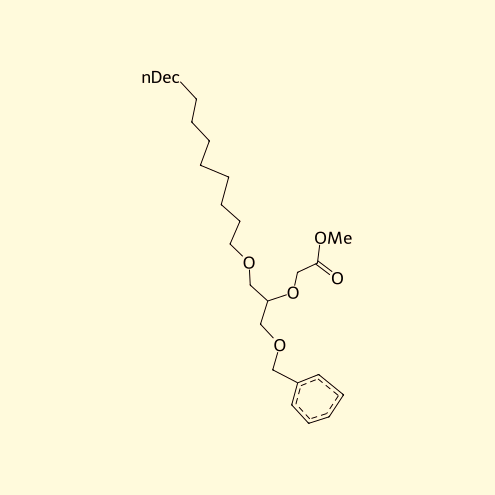 CCCCCCCCCCCCCCCCCCOCC(COCc1ccccc1)OCC(=O)OC